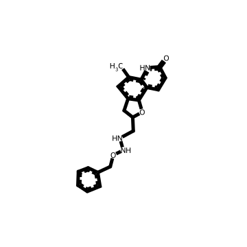 Cc1cc2c(c3ccc(=O)[nH]c13)OC(CNNOCc1ccccc1)C2